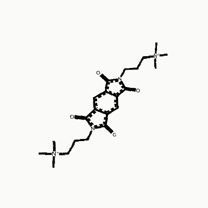 C[N+](C)(C)CCCn1c(=O)c2cc3c(=O)n(CCC[N+](C)(C)C)c(=O)c3cc2c1=O